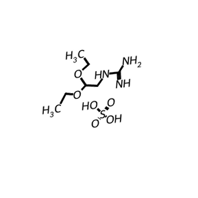 CCOC(CNC(=N)N)OCC.O=S(=O)(O)O